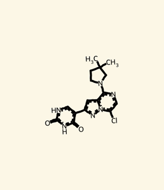 CC1(C)CCN(c2ncc(Cl)n3nc(-c4c[nH]c(=O)[nH]c4=O)cc23)C1